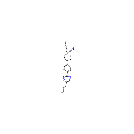 CCCCc1cnc(-c2ccc([C@H]3CC[C@@](C#N)(CCCC)CC3)cc2)nc1